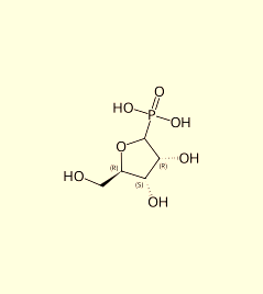 O=P(O)(O)C1O[C@H](CO)[C@@H](O)[C@H]1O